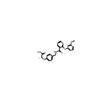 COc1cccc(Oc2ncccc2C(=O)NCc2ccc(O[C@H](C)C(=O)O)cc2)c1